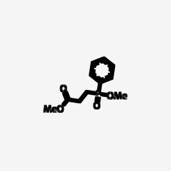 COC(=O)CCP(=O)(OC)c1ccccc1